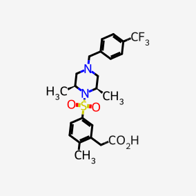 Cc1ccc(S(=O)(=O)N2[C@H](C)CN(Cc3ccc(C(F)(F)F)cc3)C[C@@H]2C)cc1CC(=O)O